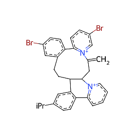 C=C1CC2C(CCc3cc(Br)ccc3-c3ccc(Br)c[n+]31)c1cc(C(C)C)ccc1-c1cccc[n+]12